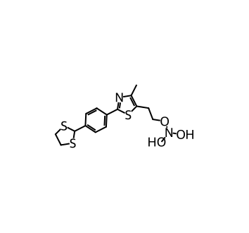 Cc1nc(-c2ccc(C3SCCS3)cc2)sc1CCON(O)O